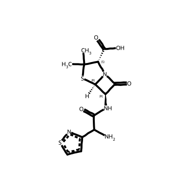 CC1(C)S[C@@H]2[C@H](NC(=O)C(N)c3ccsn3)C(=O)N2[C@H]1C(=O)O